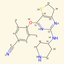 Cc1cc(C#N)cc(C)c1Oc1nc(NC2CCNCC2)nc2c1SCC2